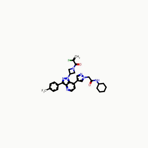 C=C(F)C(=O)N1CC(n2nc(-c3ccc(C(F)(F)F)cc3)c3nccc(-c4cnn(CC(=O)NC5CCCCC5)c4)c32)C1